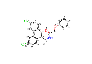 CC(NC(=O)COc1ccccc1)C(Cc1ccc(Cl)cc1)c1ccc(Cl)cc1